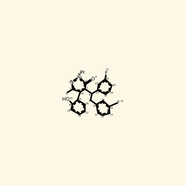 Cc1nn(C(C)C)c(=O)c(C(Cc2cccc(F)c2)c2cccc(F)c2)c1-c1ccccc1O